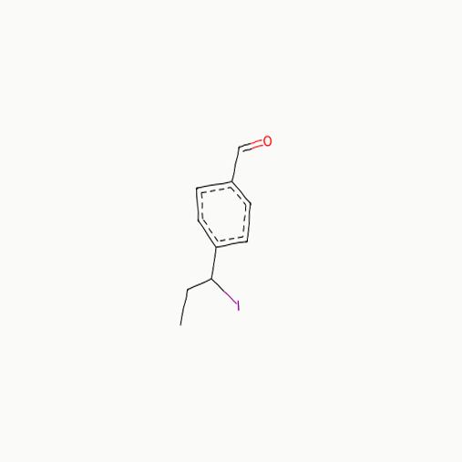 CCC(I)c1ccc(C=O)cc1